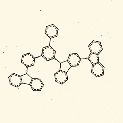 c1ccc(-c2cc(-c3cccc(C4c5ccccc5-c5ccccc54)c3)cc(C3c4ccccc4-c4cc(-n5c6ccccc6c6ccccc65)ccc43)c2)cc1